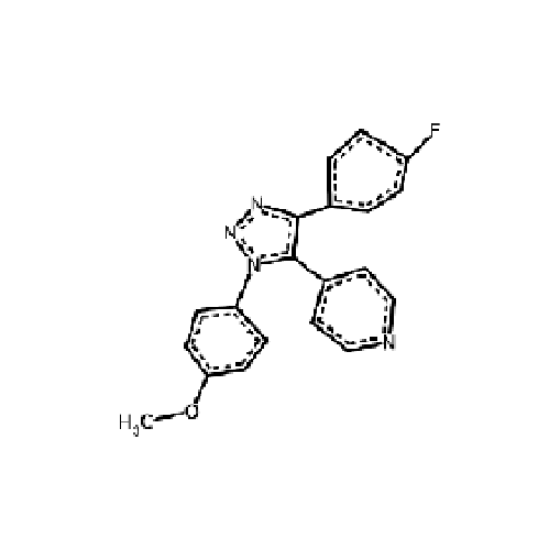 COc1ccc(-n2nnc(-c3ccc(F)cc3)c2-c2ccncc2)cc1